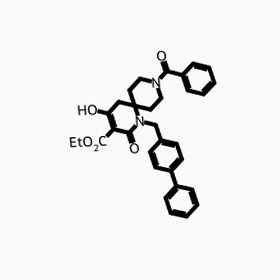 CCOC(=O)C1=C(O)CC2(CCN(C(=O)c3ccccc3)CC2)N(Cc2ccc(-c3ccccc3)cc2)C1=O